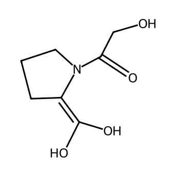 O=C(CO)N1CCCC1=C(O)O